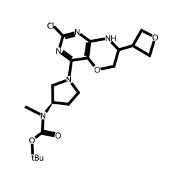 CN(C(=O)OC(C)(C)C)[C@@H]1CCN(c2nc(Cl)nc3c2OCC(C2COC2)N3)C1